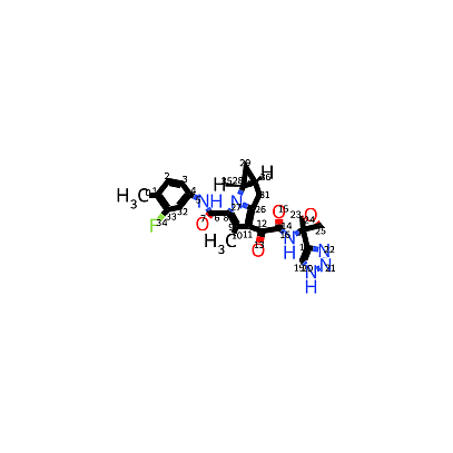 Cc1ccc(NC(=O)c2c(C)c(C(=O)C(=O)NC3(c4c[nH]nn4)COC3)c3n2[C@@H]2C[C@@H]2C3)cc1F